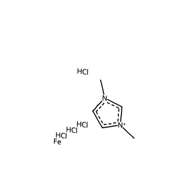 Cl.Cl.Cl.Cl.Cn1cc[n+](C)c1.[Fe]